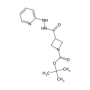 CC(C)(C)OC(=O)N1CC(C(=O)NNc2ccccn2)C1